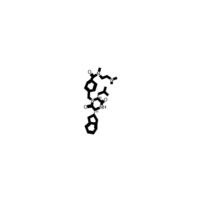 CC(C)C[C@@H]1C(=O)N[C@H](C2Cc3ccccc3C2)C(=O)N1Cc1ccc(C(=O)N(C)CCN(C)C)cc1